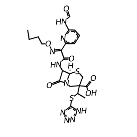 CCCCON=C(C(=O)NC1C(=O)N2CC(C(=O)O)(C(C)Sc3nnn[nH]3)CS[C@H]12)c1cccc(NC=O)n1